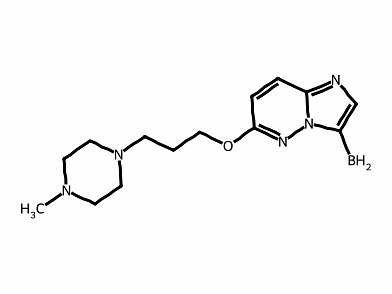 Bc1cnc2ccc(OCCCN3CCN(C)CC3)nn12